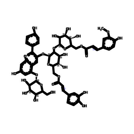 COc1cc(/C=C/C(=O)OCC2O[C@@H](OC3[C@H](Oc4cc5c(O[C@@H]6OC(CO)[C@@H](O)[C@H](O)C6O)cc(O)cc5[o+]c4-c4ccc(O)cc4)OC(COC(=O)/C=C/c4ccc(O)c(O)c4)[C@@H](O)[C@@H]3O)C(O)[C@@H](O)[C@@H]2O)ccc1O